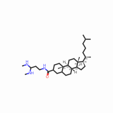 CN[C](CCNC(=O)C1CC[C@@]2(C)C(CC[C@H]3[C@@H]4CC[C@H]([C@H](C)CCCC(C)C)[C@@]4(C)CC[C@@H]32)C1)NC